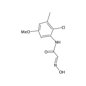 COc1cc(C)c(Cl)c(NC(=O)C=NO)c1